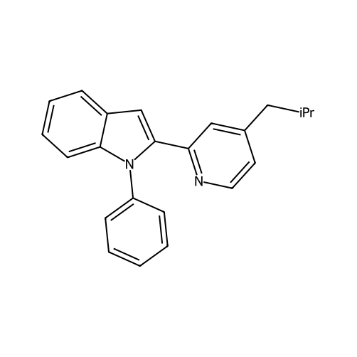 CC(C)Cc1ccnc(-c2cc3ccccc3n2-c2ccccc2)c1